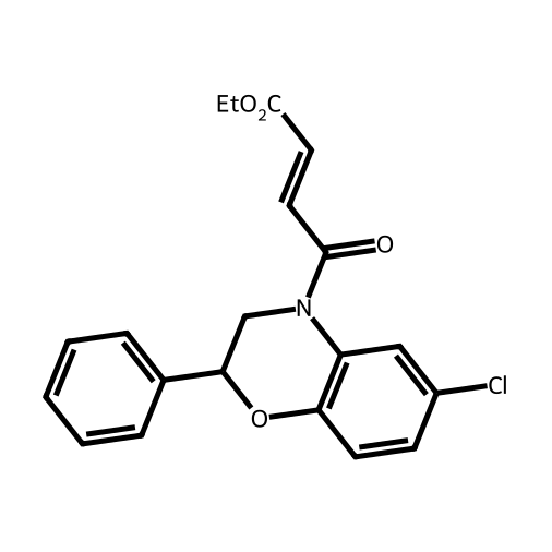 CCOC(=O)C=CC(=O)N1CC(c2ccccc2)Oc2ccc(Cl)cc21